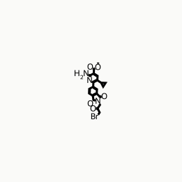 COC(=O)c1cc(C2CC2)c(-c2ccc3c(c2)C(=O)N(CC(=O)CBr)C3=O)nc1N